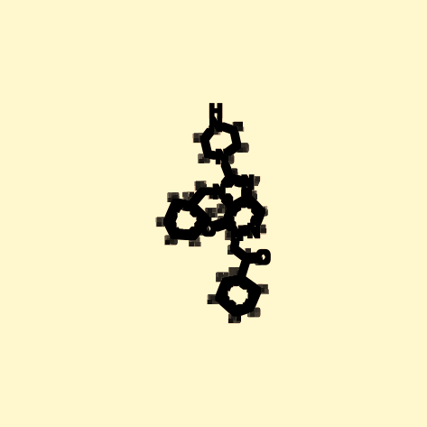 O=C(Cn1ncc2nc(N3CCNCC3)n(Cc3ccccc3)c2c1=O)c1ccccc1